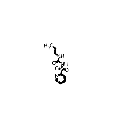 CCCNC(=O)NS(=O)(=O)c1ccccn1